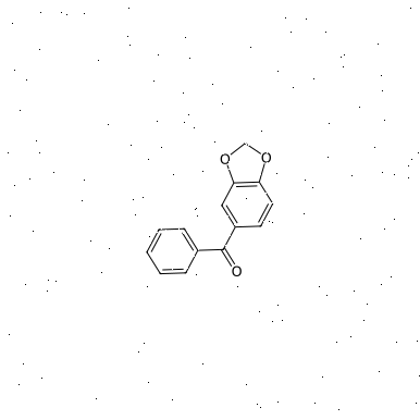 O=C(c1ccccc1)c1ccc2c(c1)OCO2